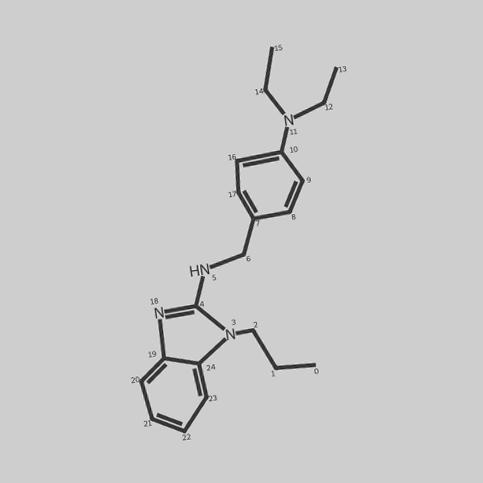 CCCn1c(NCc2ccc(N(CC)CC)cc2)nc2ccccc21